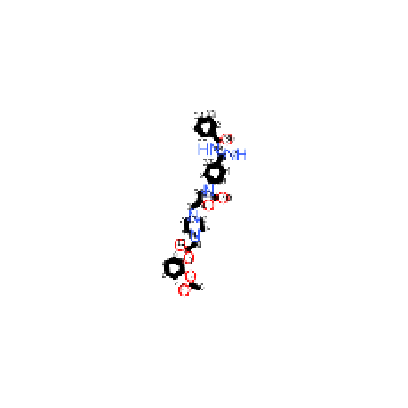 CC(=O)Oc1ccccc1OC(=O)CN1CCN(CC2CN(c3ccc(C(=N)NC(=O)c4ccccc4)cc3)C(=O)O2)CC1